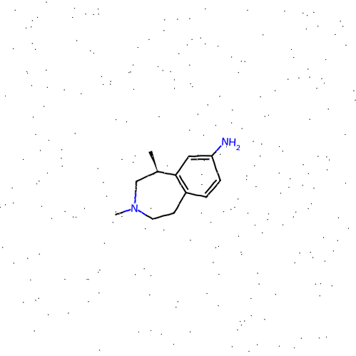 C[C@@H]1CN(C)CCc2ccc(N)cc21